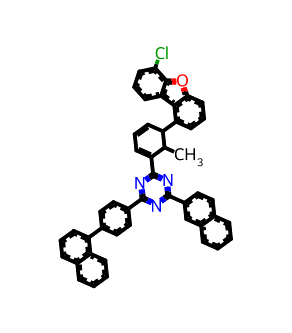 CC1C(c2nc(-c3ccc(-c4cccc5ccccc45)cc3)nc(-c3ccc4ccccc4c3)n2)=CC=CC1c1cccc2oc3c(Cl)cccc3c12